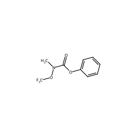 CN(OC(F)(F)F)C(=O)Oc1ccccc1